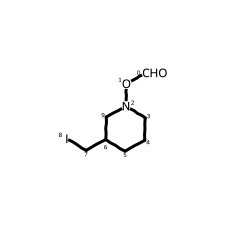 O=CON1CCCC(CI)C1